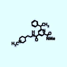 CNC(=O)c1cc(C(=O)NCCC2CCN(C)CC2)cc(C(C)c2ccccc2)n1